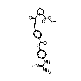 CCOC(=O)C1CCCN1C(=O)/C=C/c1ccc(C(=O)Oc2ccc(NC(=N)N)cc2)cc1